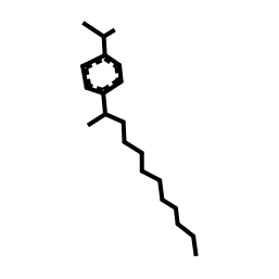 CCCCCCCCCCC(C)c1ccc(C(C)C)cc1